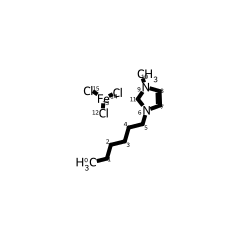 CCCCCCN1C=CN(C)C1.[Cl][Fe]([Cl])[Cl]